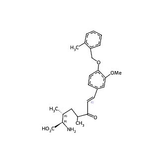 COc1cc(/C=C/C(=O)C(C)C[C@@H](C)[C@@H](N)C(=O)O)ccc1OCc1ccccc1C